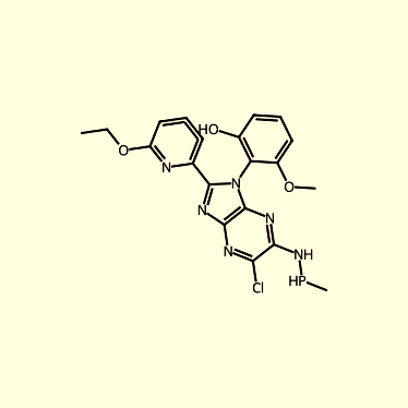 CCOC1=NC(c2nc3nc(Cl)c(NPC)nc3n2-c2c(O)cccc2OC)=C=C=C1